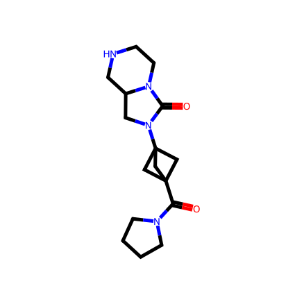 O=C1N2CCNCC2CN1C12CC(C(=O)N3CCCC3)(C1)C2